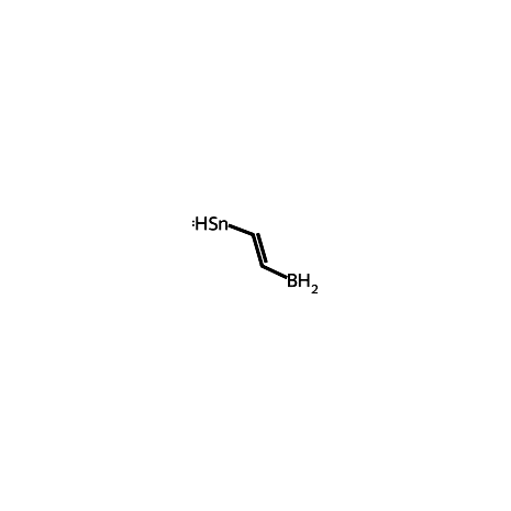 BC=[CH][SnH]